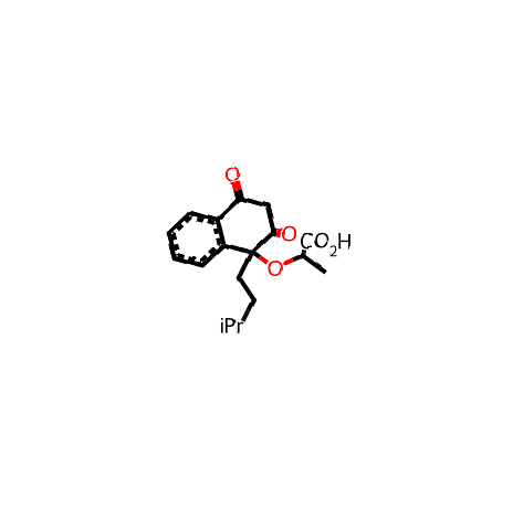 CC(C)CCC1(OC(C)C(=O)O)C(=O)CC(=O)c2ccccc21